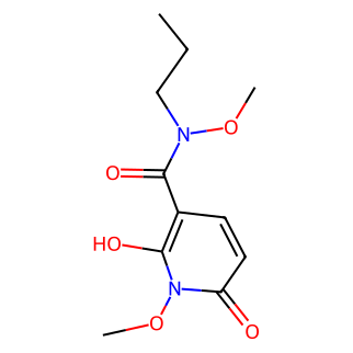 CCCN(OC)C(=O)c1ccc(=O)n(OC)c1O